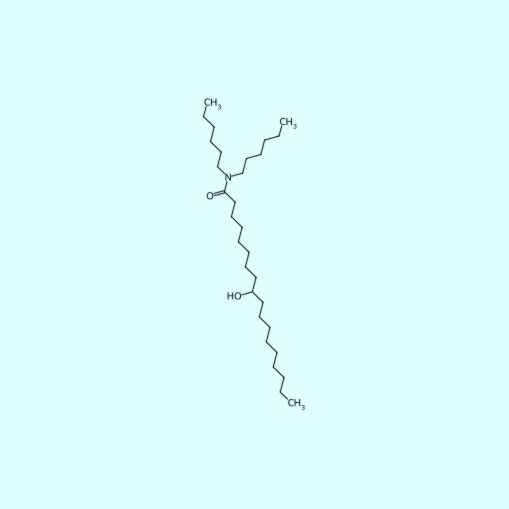 CCCCCCCCCC(O)CCCCCCCC(=O)N(CCCCCC)CCCCCC